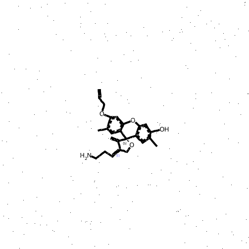 C=CCOc1cc2c(cc1C)[C@@]1(OC/C(=C/CCN)C1=C)c1cc(C)c(O)cc1O2